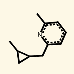 Cc1cccc(CC2CC2C)n1